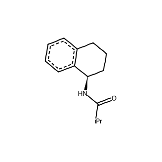 CC(C)C(=O)N[C@@H]1CCCc2ccccc21